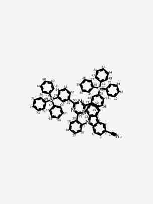 N#Cc1ccc2c(c1)c1ccccc1n2-c1ccccc1-c1nc(-c2cccc(S(c3ccccc3)(c3ccccc3)c3ccccc3)c2)nc(-c2cccc(S(c3ccccc3)(c3ccccc3)c3ccccc3)c2)n1